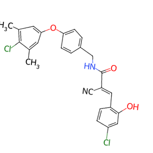 Cc1cc(Oc2ccc(CNC(=O)/C(C#N)=C/c3ccc(Cl)cc3O)cc2)cc(C)c1Cl